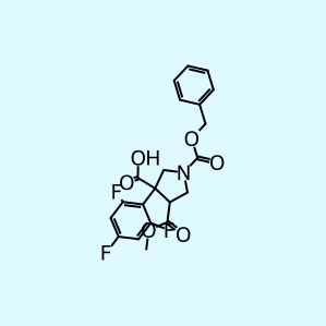 COC(=O)C1CN(C(=O)OCc2ccccc2)CC1(C(=O)O)c1c(F)cc(F)cc1F